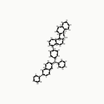 c1ccc(-c2ccc3cc(N(c4ccccc4)c4ccc(-c5cccc6c5ccc5sc7c8ccccc8ccc7c56)cc4)ccc3c2)cc1